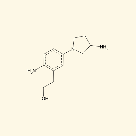 Nc1ccc(N2CCC(N)C2)cc1CCO